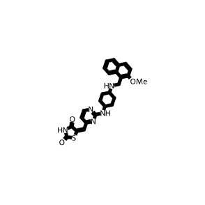 COc1ccc2ccccc2c1CNC1CCC(Nc2nccc(/C=C3/SC(=O)NC3=O)n2)CC1